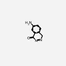 Nc1ccc2c(c1)C(=O)N=NC2